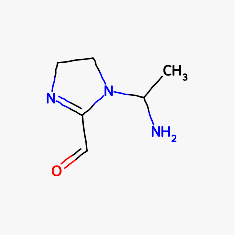 CC(N)N1CCN=C1C=O